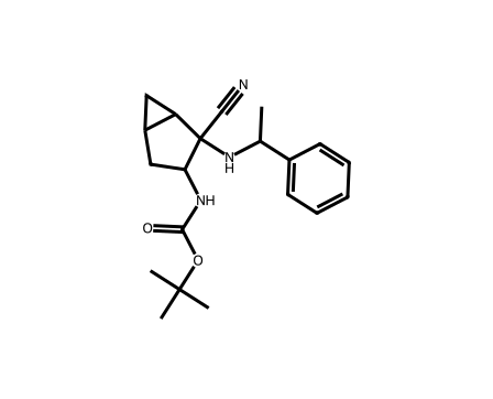 CC(NC1(C#N)C(NC(=O)OC(C)(C)C)CC2CC21)c1ccccc1